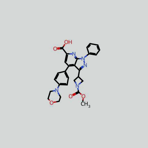 COC(=O)N1CC(c2nn(-c3ccccc3)c3nc(C(=O)O)cc(-c4ccc(N5CCOCC5)cc4)c23)C1